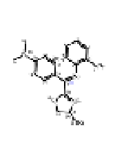 CC(C)c1cccc(C(C)C)c1/N=C(/C1=N[C@@H](C(C)(C)C)CO1)c1ccc(N(C)C)cc1